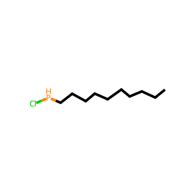 CCCCCCCCCCPCl